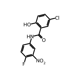 O=C(Nc1ccc(F)c([N+](=O)[O-])c1)c1cc(Cl)ccc1O